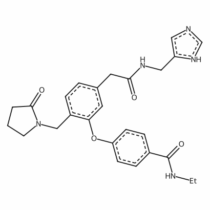 CCNC(=O)c1ccc(Oc2cc(CC(=O)NCc3cnc[nH]3)ccc2CN2CCCC2=O)cc1